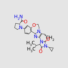 C=Cc1c(N2C(=O)N(C3CC3)C(=O)C2C(C)C)nc2n1CCOc1cc(N3CCC[C@H]3C(N)=O)ccc1-2